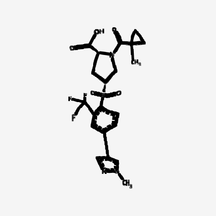 Cn1cc(-c2ccc(S(=O)(=O)[C@@H]3C[C@@H](C(=O)O)N(C(=O)C4(C)CC4)C3)c(C(F)(F)F)c2)cn1